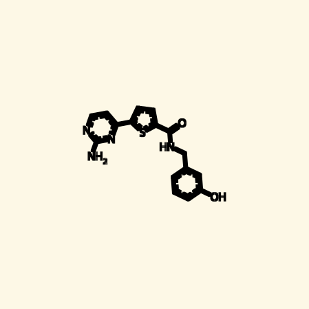 Nc1nccc(-c2ccc(C(=O)NCc3cccc(O)c3)s2)n1